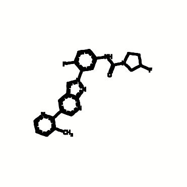 Cc1cccnc1-c1cnc2nn(-c3cc(NC(=O)N4CCC(F)C4)ccc3F)cc2c1